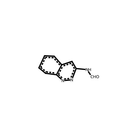 O=CNc1cc2ccccc2nn1